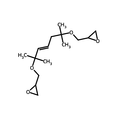 CC(C)(/C=C/CC(C)(C)OCC1CO1)OCC1CO1